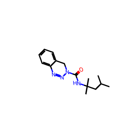 CC(C)CC(C)(C)NC(=O)N1Cc2ccccc2N=N1